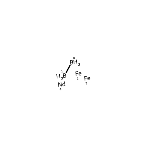 BB.[Fe].[Fe].[Nd]